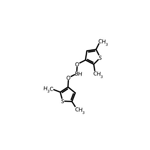 Cc1cc(OBOc2cc(C)sc2C)c(C)s1